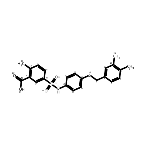 Cc1ccc(CSc2ccc(NS(=O)(=O)c3ccc(C)c(C(=O)O)c3)cc2)cc1C